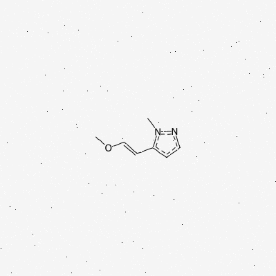 COC=Cc1ccnn1C